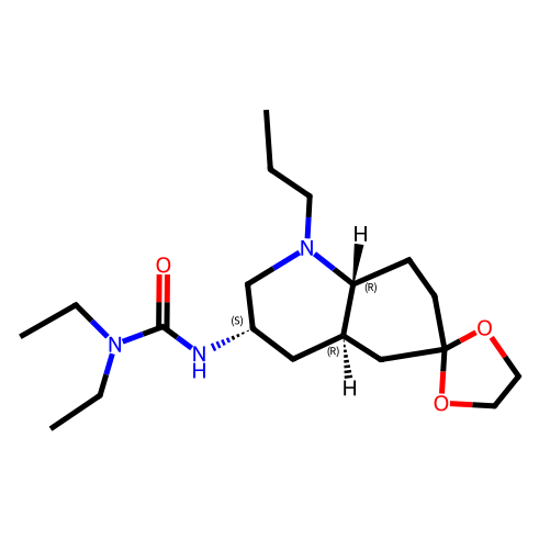 CCCN1C[C@@H](NC(=O)N(CC)CC)C[C@@H]2CC3(CC[C@H]21)OCCO3